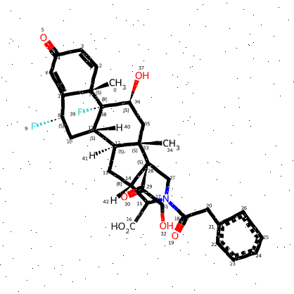 C[C@]12C=CC(=O)C=C1[C@@H](F)C[C@H]1[C@@H]3C[C@H]4C(C(=O)O)N(C(=O)Cc5ccccc5)C[C@@]4(C(=O)CO)[C@@]3(C)C[C@H](O)[C@@]12F